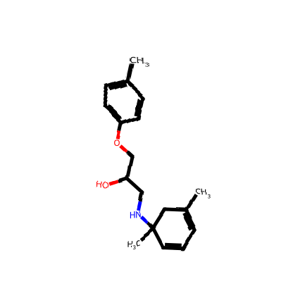 CC1=CC=CC(C)(NCC(O)COc2ccc(C)cc2)C1